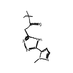 Cn1nccc1-c1nnc(CC(=O)C(C)(C)C)[nH]1